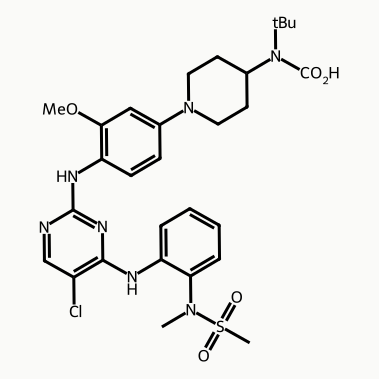 COc1cc(N2CCC(N(C(=O)O)C(C)(C)C)CC2)ccc1Nc1ncc(Cl)c(Nc2ccccc2N(C)S(C)(=O)=O)n1